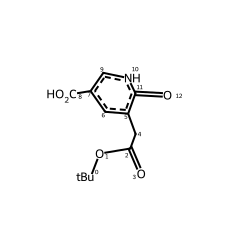 CC(C)(C)OC(=O)Cc1cc(C(=O)O)c[nH]c1=O